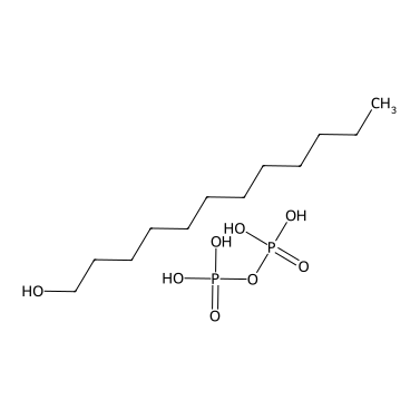 CCCCCCCCCCCCO.O=P(O)(O)OP(=O)(O)O